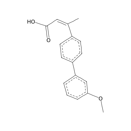 COc1cccc(-c2ccc(/C(C)=C\C(=O)O)cc2)c1